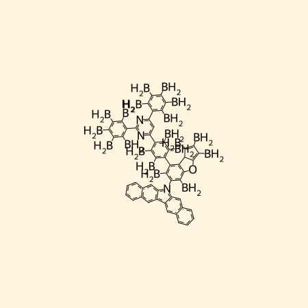 BC1=C(B)C2C(=C1B)Oc1c(B)c(-n3c4cc5ccccc5cc4c4cc5ccccc5cc43)c(B)c(-c3c(B)c(B)c(-c4cc(-c5c(B)c(B)c(B)c(B)c5B)nc(-c5c(B)c(B)c(B)c(B)c5B)n4)c(B)c3B)c12